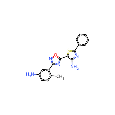 Cc1ccc(N)cc1-c1noc(-c2sc(-c3ccccc3)nc2N)n1